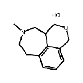 CN1CCc2cccc3c2C(COC3)C1.Cl